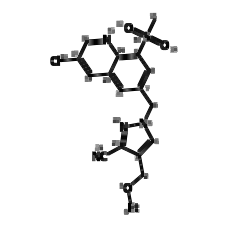 CCOCc1cn(Cc2cc(S(C)(=O)=O)c3ncc(Cl)cc3c2)nc1C#N